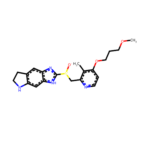 COCCCOc1ccnc(C[S+]([O-])c2nc3cc4c(cc3[nH]2)NCC4)c1C